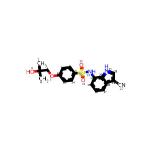 CC(C)(O)COc1ccc(S(=O)(=O)Nc2cccc3c(C#N)c[nH]c23)cc1